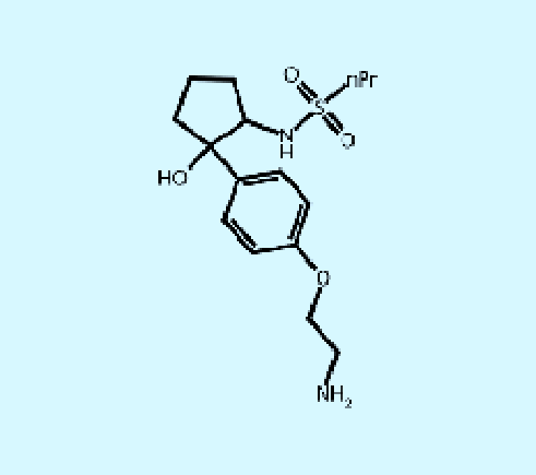 CCCS(=O)(=O)NC1CCCC1(O)c1ccc(OCCN)cc1